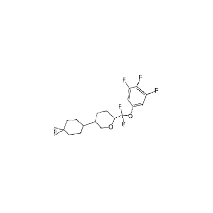 Fc1cc(OC(F)(F)C2CCC(C3CCC4(C=C4)CC3)CO2)cc(F)c1F